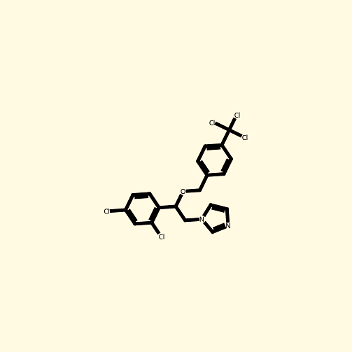 Clc1ccc(C(Cn2ccnc2)OCc2ccc(C(Cl)(Cl)Cl)cc2)c(Cl)c1